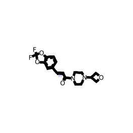 O=C(/C=C/c1ccc2c(c1)OC(F)(F)O2)N1CCN(C2COC2)CC1